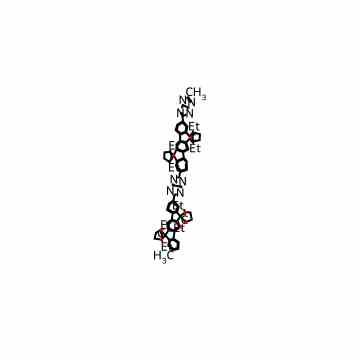 CCC12CCC(CC)(CC1)C21c2cc(C)ccc2-c2cc3c(cc21)-c1ccc(C2=NC4=NC(c5ccc6c(c5)C5(c7cc8c(cc7-6)C6(c7cc(C9=NC%10=NC(C)=NC%10=N9)ccc7-8)C7(CC)CCC6(CC)CC7)C6(CC)CCC5(CC)CC6)=NC4=N2)cc1C31C2(CC)CCC1(CC)CC2